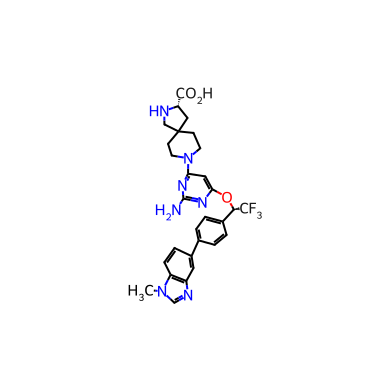 Cn1cnc2cc(-c3ccc([C@@H](Oc4cc(N5CCC6(CC5)CN[C@H](C(=O)O)C6)nc(N)n4)C(F)(F)F)cc3)ccc21